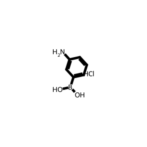 Cl.Nc1cccc(B(O)O)c1